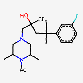 CC(=O)N1C(C)CN(CC(O)(CC(C)(C)c2cccc(F)c2)C(F)(F)F)CC1C